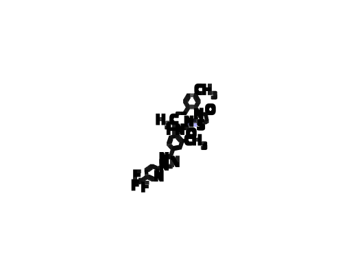 CCCc1ccc(C)cc1N1C(=O)CS/C1=N\C(=O)Nc1ccc(-c2ncn(-c3ccc(C(F)(F)F)cn3)n2)cc1C